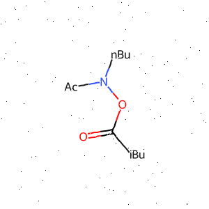 CCCCN(OC(=O)C(C)CC)C(C)=O